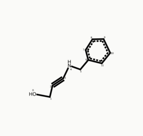 OCC#CNCc1ccccc1